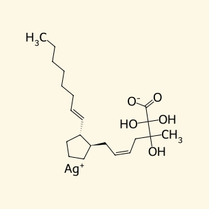 CCCCCC/C=C/[C@H]1CCC[C@@H]1C/C=C\CC(C)(O)C(O)(O)C(=O)[O-].[Ag+]